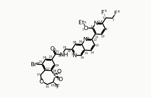 CCOc1nc([C@H](F)CF)ccc1-c1ccc2cnc(CNC(=O)c3cc(Br)c4c(c3)S(=O)(=O)[C@@H](F)COC4)cc2n1